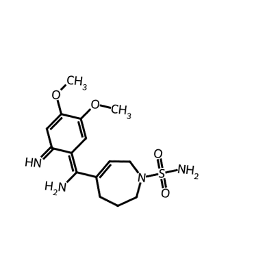 COC1=CC(=N)/C(=C(\N)C2=CCN(S(N)(=O)=O)CCC2)C=C1OC